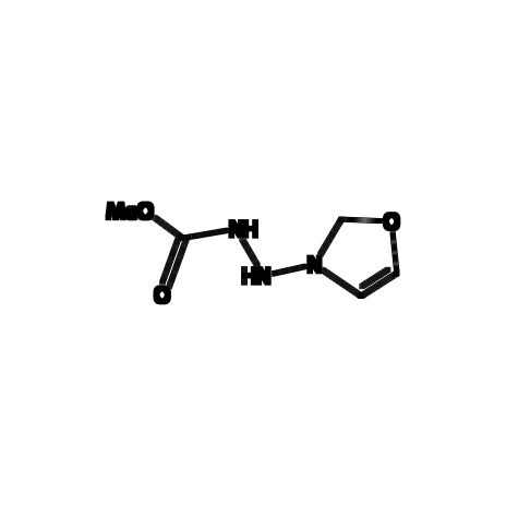 COC(=O)NNN1C=COC1